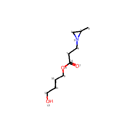 CC1CN1CCC(=O)OCCCCO